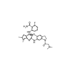 COc1cc2c(cc1Nc1nc(Nc3cccc(F)c3C(N)=O)c3cc(C)n(C)c3n1)N(C(=O)CN(C)C)CC2